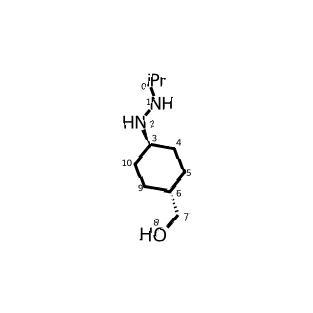 CC(C)NN[C@H]1CC[C@H](CO)CC1